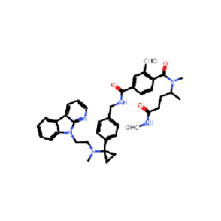 CC(CCC(=O)NC=O)N(C)C(=O)c1ccc(C(=O)NCc2ccc(C3(N(C)CCn4c5ccccc5c5cccnc54)CC3)cc2)cc1C=O